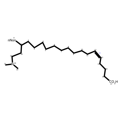 CCCCCCCCCC(CCCCCCCCCC/C=C\CCCC(=O)O)CCN(C)C